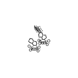 O=S(=O)([O-])c1ccc2ccccc2c1S(=O)(=O)[O-].O=S(=O)([O-])c1ccc2ccccc2c1S(=O)(=O)[O-].[Na+].[Na+].[Na+].[Na+]